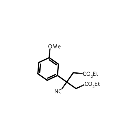 CCOC(=O)CC(C#N)(CC(=O)OCC)c1cccc(OC)c1